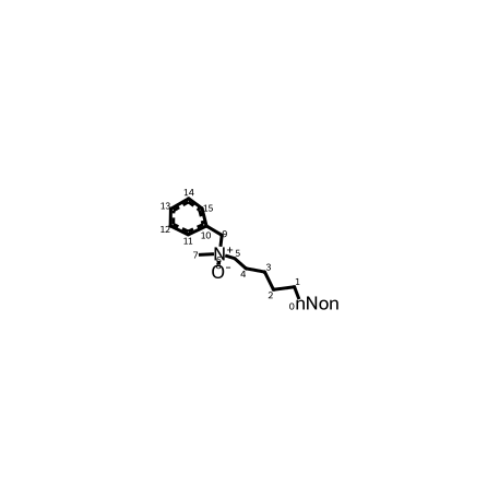 CCCCCCCCCCCCCC[N+](C)([O-])Cc1ccccc1